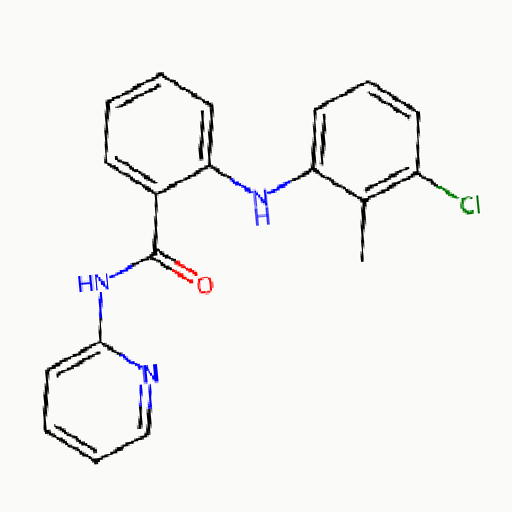 Cc1c(Cl)cccc1Nc1ccccc1C(=O)Nc1ccccn1